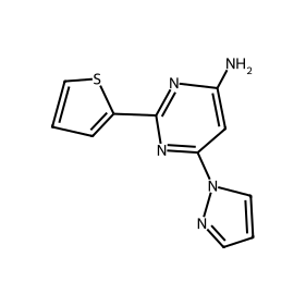 Nc1cc(-n2cccn2)nc(-c2cccs2)n1